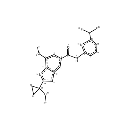 COc1cc(C(=O)Nc2cccc(C(F)F)n2)cn2cc(C3(OC)CC3)nc12